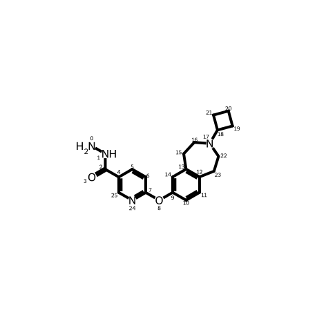 NNC(=O)c1ccc(Oc2ccc3c(c2)CCN(C2CCC2)CC3)nc1